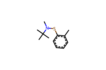 Cc1ccccc1SN(C)C(C)(C)C